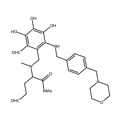 CNC(=O)C(CCC=O)N(C)Cc1c(C=O)c(O)c(O)c(O)c1NCc1ccc(CN2CCOCC2)cc1